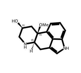 CO[C@]12C[C@H](O)CN[C@@H]1Cc1c[nH]c3cccc2c13